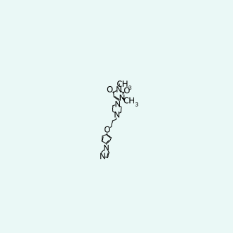 Cn1c(N2CCN(CCCOc3ccc(-n4ccnc4)cc3)CC2)cc(=O)n(C)c1=O